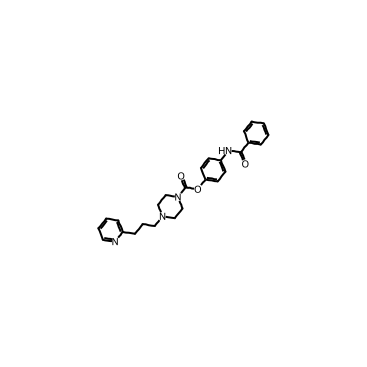 O=C(Nc1ccc(OC(=O)N2CCN(CCCc3ccccn3)CC2)cc1)c1ccccc1